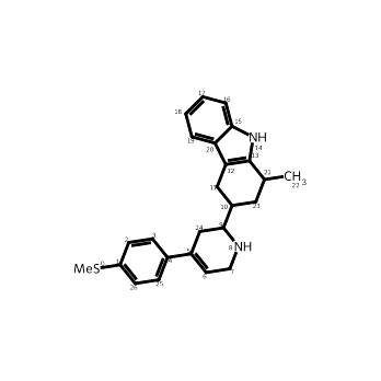 CSc1ccc(C2=CCNC(C3Cc4c([nH]c5ccccc45)C(C)C3)C2)cc1